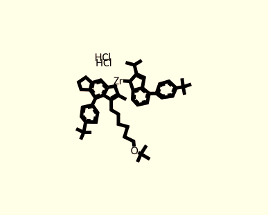 CC1=C(CCCCCCOC(C)(C)C)c2c(cc3c(c2-c2ccc(C(C)(C)C)cc2)CCC3)[CH]1[Zr][CH]1C(C(C)C)=Cc2c(-c3ccc(C(C)(C)C)cc3)cccc21.Cl.Cl